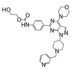 O=C(Nc1ccc(-c2nc(N3CCOCC3)c3cnn(C4CCN(Cc5cccnc5)CC4)c3n2)cc1)OCCO